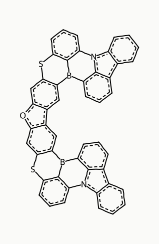 c1cc2c3c(c1)-n1c4ccccc4c4cccc(c41)B3c1cc3c(cc1S2)oc1cc2c(cc13)B1c3c(cccc3-n3c4ccccc4c4cccc1c43)S2